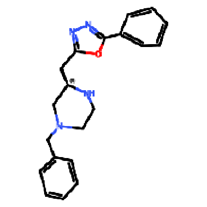 c1ccc(CN2CCN[C@H](Cc3nnc(-c4ccccc4)o3)C2)cc1